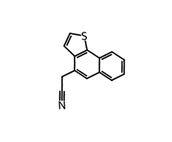 N#CCc1cc2ccccc2c2sccc12